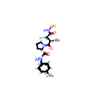 CCCC[C@@H](C(=O)N1CCC[C@H]1C(=O)Nc1ccc(C(C)(C)C)cc1)C(F)C(=O)NO